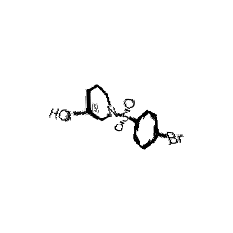 O=S(=O)(c1ccc(Br)cc1)N1CCC[C@H](O)C1